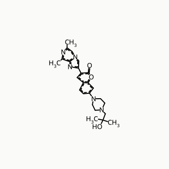 Cc1cn2cc(-c3cc4ccc(N5CCN(CC(C)(C)O)CC5)cc4oc3=O)nc2c(C)n1